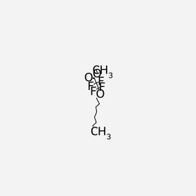 CCCCCCCCOC(F)(F)C(F)(F)C(=O)OC